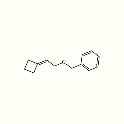 C(COCc1ccccc1)=C1CCC1